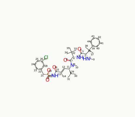 CN[C@H](C(=O)N[C@H](C(=O)N(C)[C@H](/C=C(\C)C(=O)NS(=O)(=O)Cc1cccc(Cl)c1)C(C)C)C(C)(C)C)C(C)(C)c1ccccc1